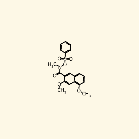 COc1cc2c(OC)cccc2cc1C(=O)N(C)OS(=O)(=O)c1ccccc1